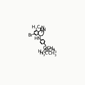 Cc1nnn2c1-c1ccc(Br)cc1C(Nc1ccc(CO[Si](C)(C)C(C)(C)C)cc1)CC2